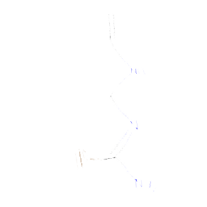 C=CNC/N=C(/N)S